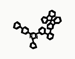 c1ccc(-c2ccc(-c3cc(-c4cccc(-c5ccccc5-c5ccc6c(c5)-c5ccccc5C65c6ccccc6-c6ccccc65)c4)nc(-c4ccccc4)n3)cc2)cc1